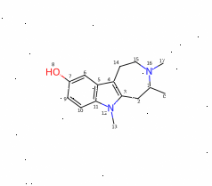 CC1Cc2c(c3cc(O)ccc3n2C)CCN1C